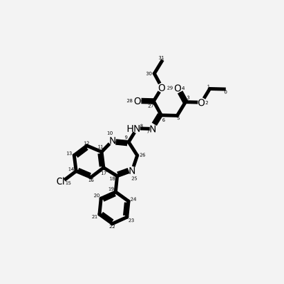 CCOC(=O)CC(=NNC1=Nc2ccc(Cl)cc2C(c2ccccc2)=NC1)C(=O)OCC